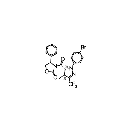 C[C@@H]1C(C(F)(F)F)=NN(c2ccc(Br)cc2)[C@H]1C(=O)N1C(=O)OCC1c1ccccc1